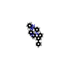 c1ccc(-c2cc3c4c(cccc4c2)N(c2cccc(-c4nc5ccccc5n4-c4ccccc4)c2)c2cnccc2-3)cc1